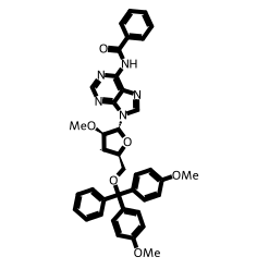 COc1ccc(C(OC[C@H]2[CH][C@@H](OC)[C@H](n3cnc4c(NC(=O)c5ccccc5)ncnc43)O2)(c2ccccc2)c2ccc(OC)cc2)cc1